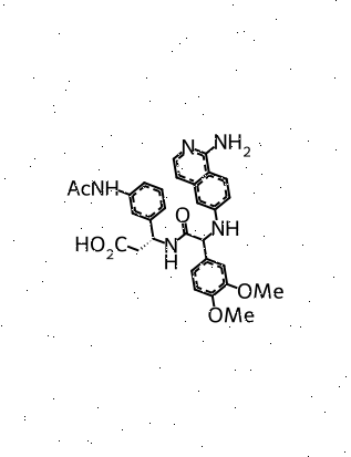 COc1ccc(C(Nc2ccc3c(N)nccc3c2)C(=O)N[C@H](CC(=O)O)c2cccc(NC(C)=O)c2)cc1OC